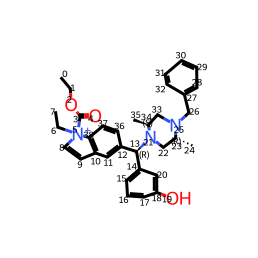 CCOC(=O)[N+]1(CC)C=Cc2cc([C@H](c3cccc(O)c3)N3C[C@@H](C)N(Cc4ccccc4)C[C@@H]3C)ccc21